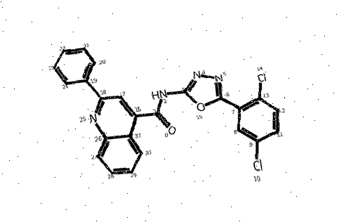 O=C(Nc1nnc(-c2cc(Cl)ccc2Cl)o1)c1cc(-c2ccccc2)nc2ccccc12